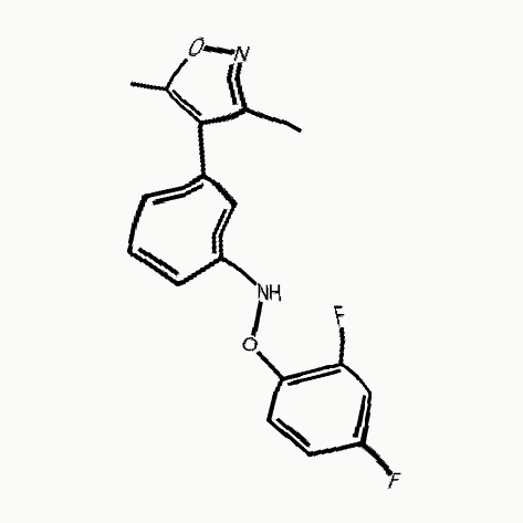 Cc1noc(C)c1-c1cccc(NOc2ccc(F)cc2F)c1